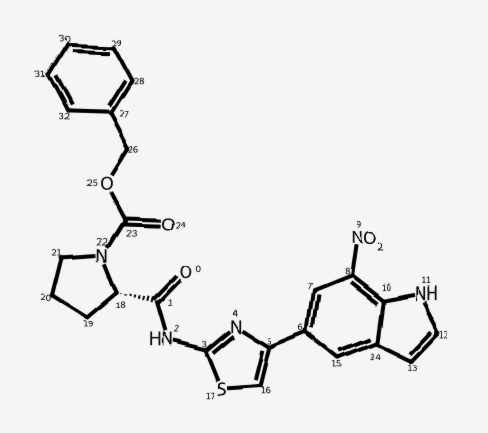 O=C(Nc1nc(-c2cc([N+](=O)[O-])c3[nH]ccc3c2)cs1)[C@@H]1CCCN1C(=O)OCc1ccccc1